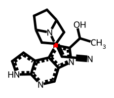 CC(O)c1nc2cnc3[nH]ccc3c2n1N1C2CCC1CC(=CC#N)C2